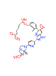 COc1cc2[nH]nc(-c3ccc(N4CCN5C[C@H](O)C[C@H]5C4)nc3)c2nc1-c1cccc(C)c1C.O=C(O)CCCCC(=O)O